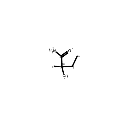 C[CH][C@](C)(O)C(N)=O